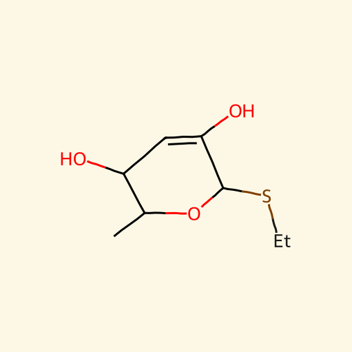 CCSC1OC(C)C(O)C=C1O